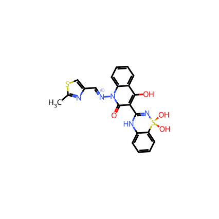 Cc1nc(/C=N/n2c(=O)c(C3=NS(O)(O)c4ccccc4N3)c(O)c3ccccc32)cs1